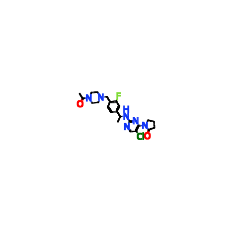 CC(=O)N1CCN(Cc2ccc(C(C)Nc3ncc(Cl)c(N4CCCC4=O)n3)cc2F)CC1